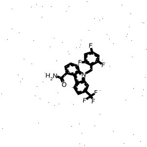 NC(=O)c1cccc2c1c1[c]cc(C(F)(F)F)cc1n2Cc1c(F)cc(F)cc1F